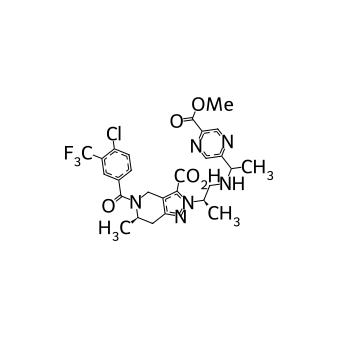 COC(=O)c1cnc(C(C)NC[C@@H](C)n2nc3c(c2C(=O)O)CN(C(=O)c2ccc(Cl)c(C(F)(F)F)c2)[C@H](C)C3)cn1